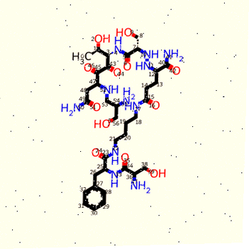 C[C@@H](O)[C@H](NC(=O)[C@H](CO)NNC(CCC(=O)NCCCCNC(=O)C(Cc1ccccc1)NC(=O)C(N)CO)C(N)=O)C(=O)C(=O)C(CC(N)=O)NCC(N)CO